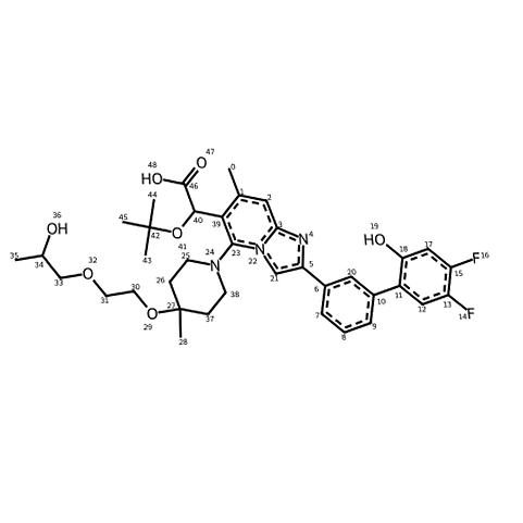 Cc1cc2nc(-c3cccc(-c4cc(F)c(F)cc4O)c3)cn2c(N2CCC(C)(OCCOCC(C)O)CC2)c1C(OC(C)(C)C)C(=O)O